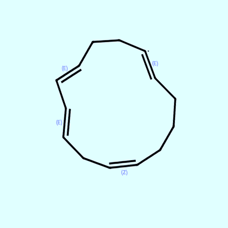 [C]1=C/CCC/C=C\C/C=C/C=C/CC/1